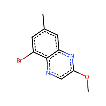 COc1cnc2c(Br)cc(C)cc2n1